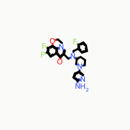 Nc1ccc(N2CCC[C@H](N(Cc3ccccc3F)Cc3cn4c5c(c(F)c(F)cc5c3=O)OCC4)C2)cn1